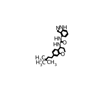 CC(C)(C)CCc1ccc2c(c1)OCCC2NC(=O)Nc1cccc2[nH]ncc12